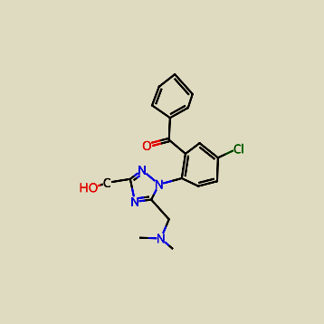 CN(C)Cc1nc(CO)nn1-c1ccc(Cl)cc1C(=O)c1ccccc1